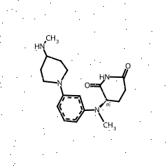 CNC1CCN(c2cccc(N(C)[C@@H]3CCC(=O)NC3=O)c2)CC1